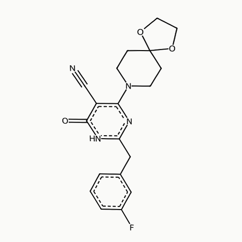 N#Cc1c(N2CCC3(CC2)OCCO3)nc(Cc2cccc(F)c2)[nH]c1=O